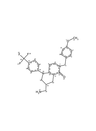 COc1ccc(Cn2ccc3c(c2=O)CC(CN)CN3c2ccc(C(F)(F)F)cc2)cc1